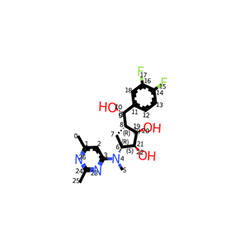 Cc1cc(N(C)[C@@H]2C[C@H]([C@H](O)c3ccc(F)c(F)c3)[C@@H](O)[C@H]2O)nc(C)n1